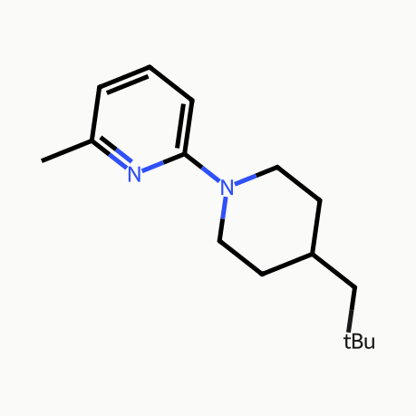 Cc1cccc(N2CCC(CC(C)(C)C)CC2)n1